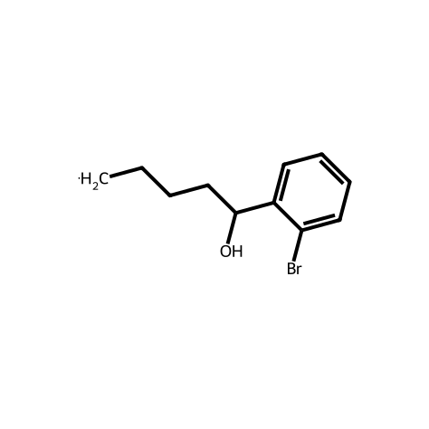 [CH2]CCCC(O)c1ccccc1Br